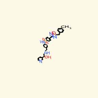 Cc1ccc(Cc2nc(-c3ccc(S(=O)(=O)Nc4ccc(CCNCC(O)c5cccnc5)cc4)cc3)no2)cc1